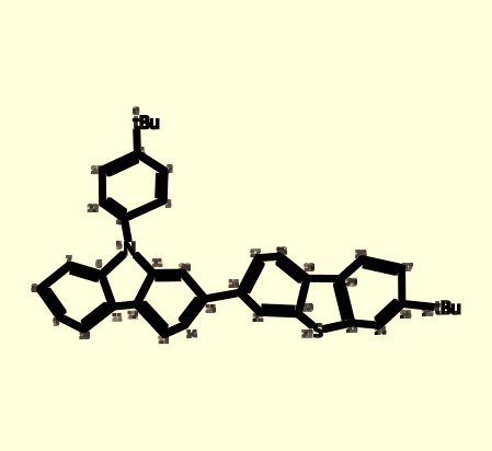 CC(C)(C)c1ccc(-n2c3ccccc3c3ccc(-c4ccc5c(c4)sc4cc(C(C)(C)C)ccc45)cc32)cc1